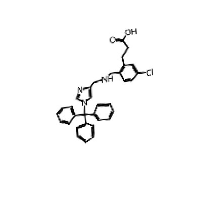 O=C(O)CCc1cc(Cl)ccc1CNCc1cn(C(c2ccccc2)(c2ccccc2)c2ccccc2)cn1